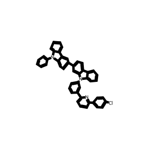 Clc1ccc(-c2cccc(-c3cccc(-n4c5ccccc5c5ccc(-c6ccc7c(c6)c6ccccc6n7-c6ccccc6)cc54)c3)n2)cc1